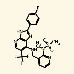 CN(c1ncccc1CNc1c(C(F)(F)F)cnc2[nH]c(-c3ccc(F)cc3)nc12)S(C)(=O)=O